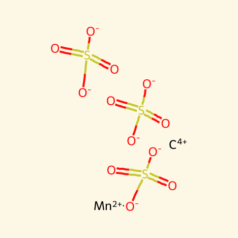 O=S(=O)([O-])[O-].O=S(=O)([O-])[O-].O=S(=O)([O-])[O-].[C+4].[Mn+2]